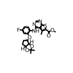 COC(=O)c1sc2ncnc(Nc3ccc(F)cc3O[C@@H]3CC[C@@H]4OC(C)(C)O[C@@H]43)c2c1C